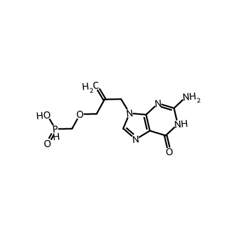 C=C(COC[PH](=O)O)Cn1cnc2c(=O)[nH]c(N)nc21